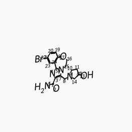 NC(=O)c1nc2n(c1CN1CC[C@@H](O)C1)CCOc1ccc(Br)cc1-2